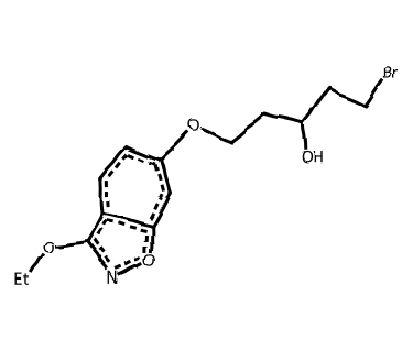 CCOc1noc2cc(OCCC(O)CCBr)ccc12